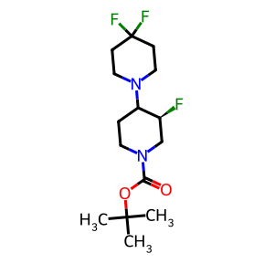 CC(C)(C)OC(=O)N1CCC(N2CCC(F)(F)CC2)[C@@H](F)C1